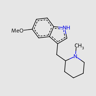 COc1ccc2[nH]cc(CC3CCCCN3C)c2c1